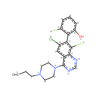 O=CCCN1CCN(c2ncnc3c(F)c(-c4c(O)cccc4F)c(Cl)cc23)CC1